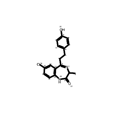 CC1N=C(CCc2ccc(O)cc2)c2cc(Cl)ccc2NC1=O